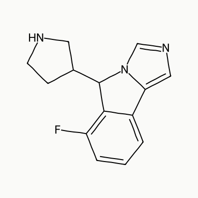 Fc1cccc2c1C(C1CCNC1)n1cncc1-2